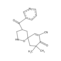 CC1(C)CC2(C=C(C#N)C1=O)CC(C(=O)c1cccnc1)CNO2